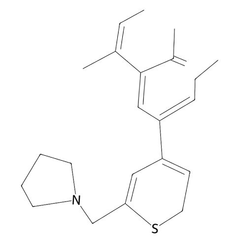 C=C(C)C(=C\C(=C/CC)C1=CCSC(CN2CCCC2)=C1)/C(C)=C\C